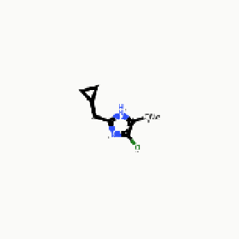 COc1[nH]c(CC2CC2)nc1Cl